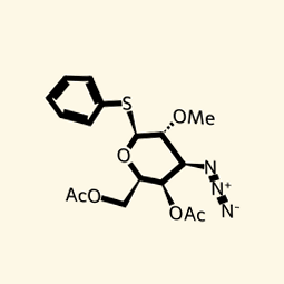 CO[C@@H]1[C@@H](N=[N+]=[N-])[C@@H](OC(C)=O)[C@@H](COC(C)=O)O[C@H]1Sc1ccccc1